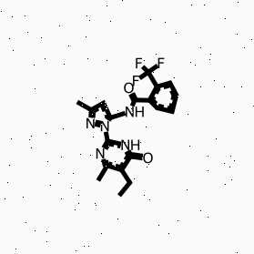 CCc1c(C)nc(-n2nc(C)cc2NC(=O)c2ccccc2C(F)(F)F)[nH]c1=O